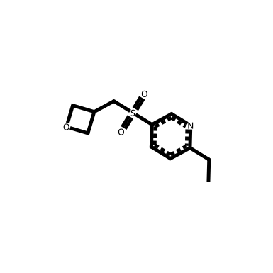 CCc1ccc(S(=O)(=O)CC2COC2)cn1